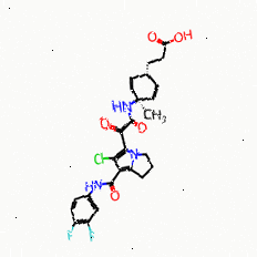 C[C@]1(NC(=O)C(=O)c2c(Cl)c(C(=O)Nc3ccc(F)c(F)c3)c3n2CCC3)CC[C@H](CCC(=O)O)CC1